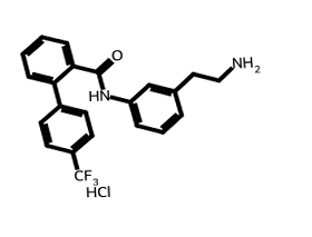 Cl.NCCc1cccc(NC(=O)c2ccccc2-c2ccc(C(F)(F)F)cc2)c1